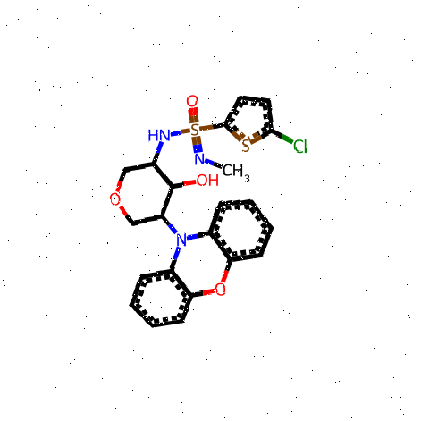 CN=S(=O)(NC1COCC(N2c3ccccc3Oc3ccccc32)C1O)c1ccc(Cl)s1